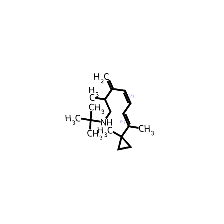 C=C(/C=C\C=C(/C)C1(C)CC1)C(C)CNC(C)(C)C